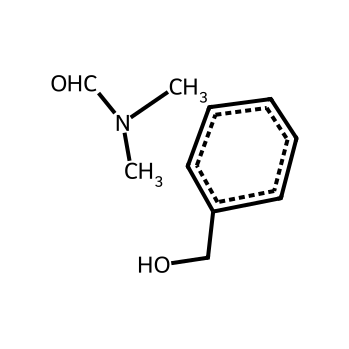 CN(C)C=O.OCc1ccccc1